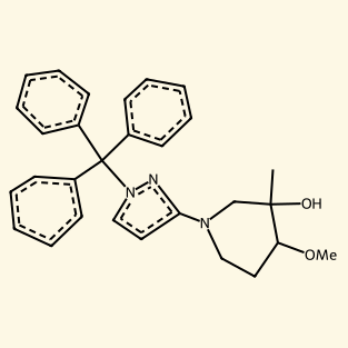 COC1CCN(c2ccn(C(c3ccccc3)(c3ccccc3)c3ccccc3)n2)CC1(C)O